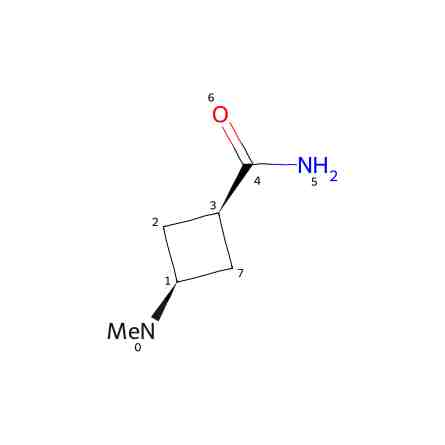 CN[C@H]1C[C@@H](C(N)=O)C1